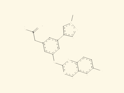 Cn1cc(-c2cc(CC(N)=O)cc(Nc3ncc4cc(Br)ccc4n3)c2)cn1